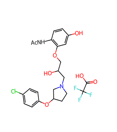 CC(=O)Nc1ccc(O)cc1OCC(O)CN1CCC(Oc2ccc(Cl)cc2)C1.O=C(O)C(F)(F)F